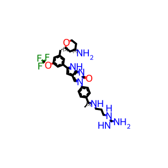 C[C@H](NCCCNC(=N)N)c1ccc(-n2cc3cc(-c4cc(C[C@H]5C[C@H](N)CCO5)cc(OC(F)(F)F)c4)[nH]c3nc2=O)cc1